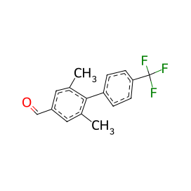 Cc1cc(C=O)cc(C)c1-c1ccc(C(F)(F)F)cc1